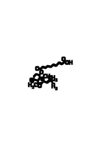 CO[C@H]1C(C2(C)O[C@@H]2CC=C(C)C)[C@]2(CC[C@H]1OC(=O)/C=C/C=C/C=C/C=C/C(=O)O)CO2